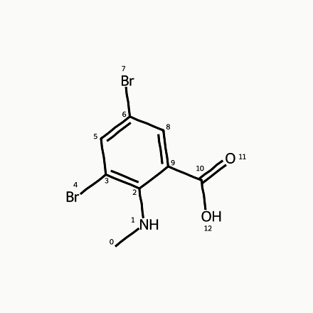 CNc1c(Br)cc(Br)cc1C(=O)O